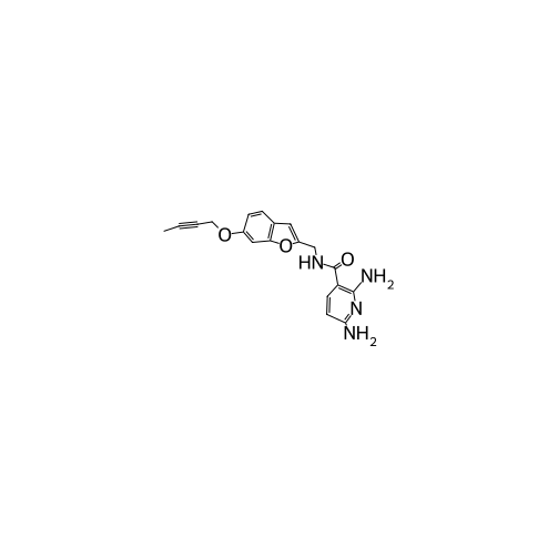 CC#CCOc1ccc2cc(CNC(=O)c3ccc(N)nc3N)oc2c1